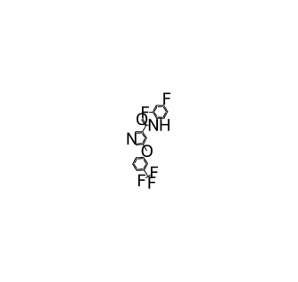 O=C(Nc1ccc(F)cc1F)c1cncc(Oc2cccc(C(F)(F)F)c2)c1